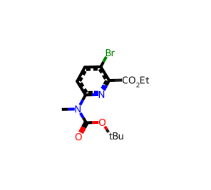 CCOC(=O)c1nc(N(C)C(=O)OC(C)(C)C)ccc1Br